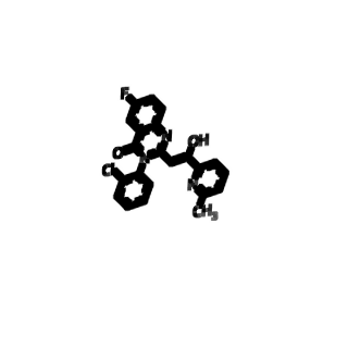 Cc1cccc(C(O)=Cc2nc3ccc(F)cc3c(=O)n2-c2ccccc2Cl)n1